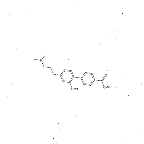 COC(=O)c1ccc(-c2ccc(CCCN(C)C)cc2OC)cc1